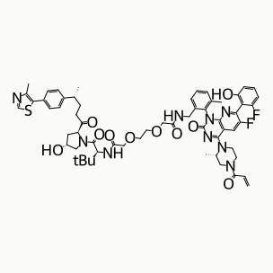 C=CC(=O)N1CCN(c2nc(=O)n(-c3c(C)cccc3CNC(=O)COCCOCC(=O)N[C@H](C(=O)N3C[C@H](O)C[C@H]3C(=O)CC[C@@H](C)c3ccc(-c4scnc4C)cc3)C(C)(C)C)c3nc(-c4c(O)cccc4F)c(F)cc23)[C@@H](C)C1